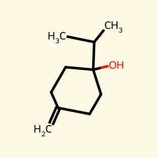 C=C1CCC(O)(C(C)C)CC1